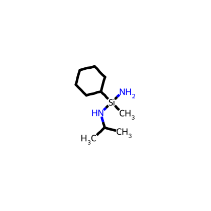 CC(C)N[Si](C)(N)C1CCCCC1